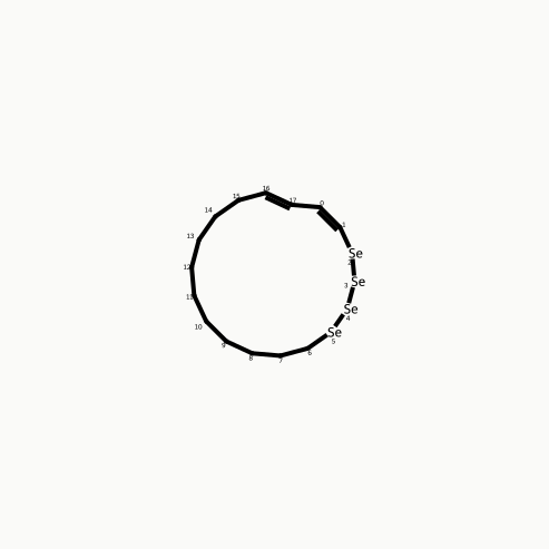 C1=C\[Se][Se][Se][Se]CCCCCCCCCC/C=C/1